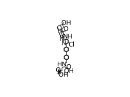 CP(=O)(O)CCC(NCc1ccc(-c2ccc(-c3nc4nc(O[C@@H]5COC6[C@H](O)CO[C@@H]65)[nH]c4cc3Cl)cc2)cc1)C(=O)O